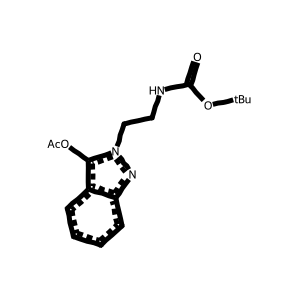 CC(=O)Oc1c2ccccc2nn1CCNC(=O)OC(C)(C)C